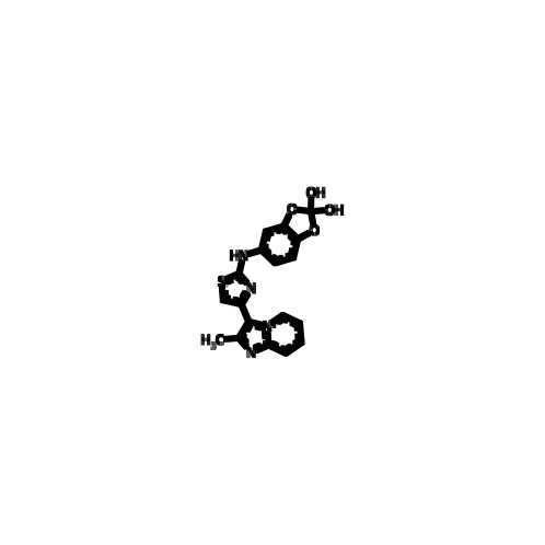 Cc1nc2ccccn2c1-c1csc(Nc2ccc3c(c2)OC(O)(O)O3)n1